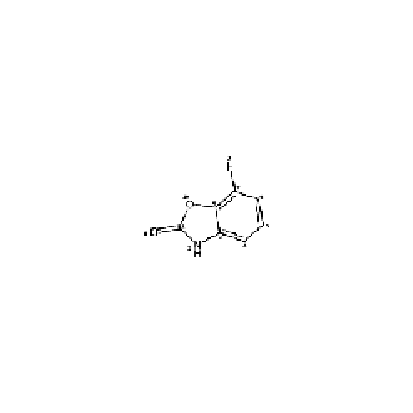 O=c1[nH]c2cccc(F)c2o1